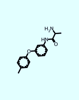 Cc1ccc(Oc2cccc(NC(=O)C(C)N)c2)cc1